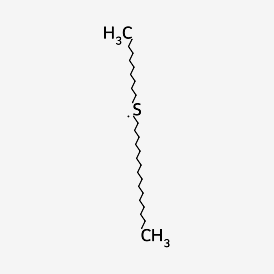 CCCCCCCCCCCCCCCCC[CH]SCCCCCCCCCCC